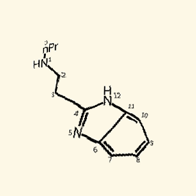 CCCNCCc1nc2ccccc2[nH]1